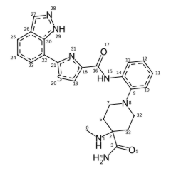 CNC1(C(N)=O)CCN(c2ccccc2NC(=O)c2csc(-c3cccc4cn[nH]c34)n2)CC1